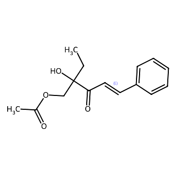 CCC(O)(COC(C)=O)C(=O)/C=C/c1ccccc1